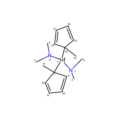 C[N](C)[Hf]([N](C)C)([C]1(C)C=CC=C1)[C]1(C)C=CC=C1